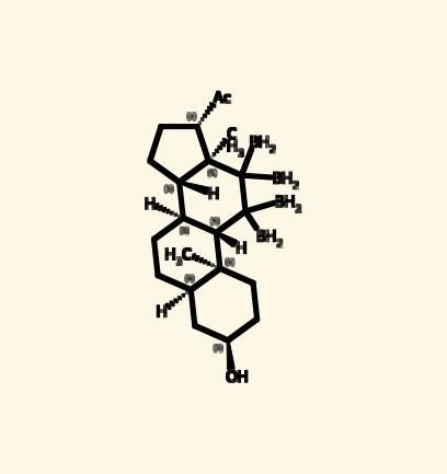 BC1(B)[C@H]2[C@@H](CC[C@@H]3C[C@H](O)CC[C@@]32C)[C@@H]2CC[C@H](C(C)=O)[C@@]2(C)C1(B)B